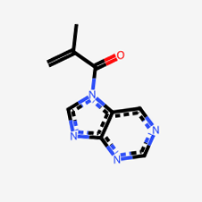 C=C(C)C(=O)n1cnc2ncncc21